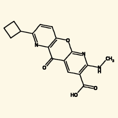 CNc1nc2oc3ccc(C4CCC4)nc3c(=O)c2cc1C(=O)O